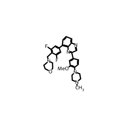 COc1cc(-c2cnc3cccc(-c4cc(F)c(CN5CCOCC5)c(F)c4)c3n2)ccc1N1CCN(C)CC1